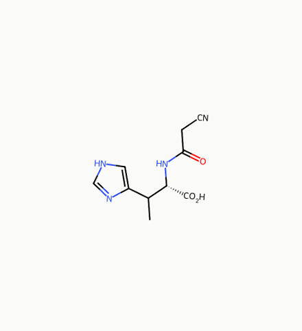 CC(c1c[nH]cn1)[C@H](NC(=O)CC#N)C(=O)O